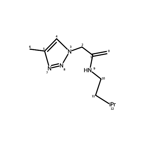 C=C(Cn1cc(C)nn1)NCCC(C)C